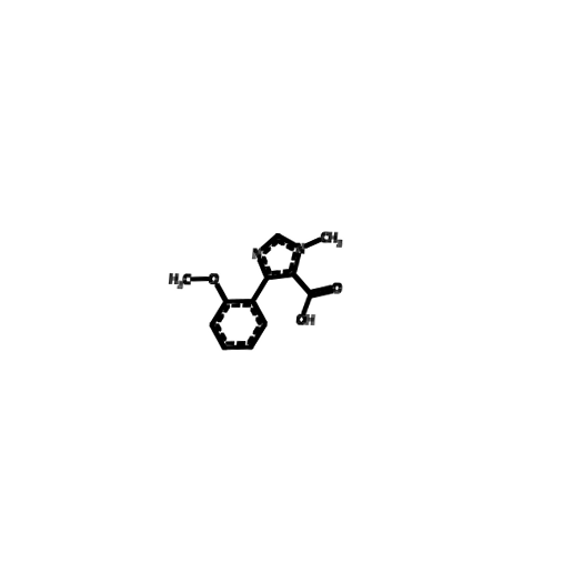 COc1ccccc1-c1ncn(C)c1C(=O)O